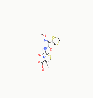 CON=C(C(=O)NC1C(=O)N2C(C(=O)O)=C(C)CS[C@@H]12)C1=CSCCS1